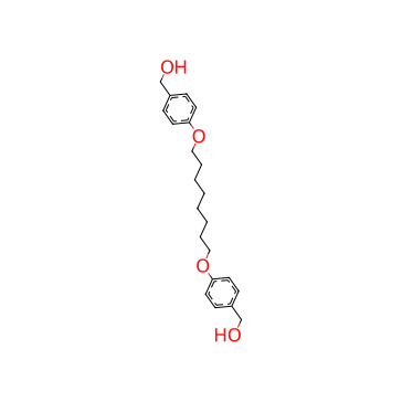 OCc1ccc(OCCCCCCCCOc2ccc(CO)cc2)cc1